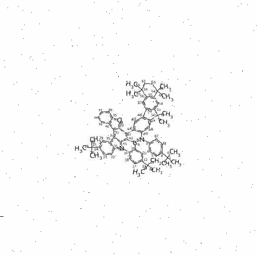 CC(C)(C)c1ccc(N2B3c4cc(C(C)(C)C)ccc4-n4c5ccc(C(C)(C)C)cc5c5c6c(oc7ccccc76)c(c3c54)-c3cc4c(cc32)C(C)(C)c2cc3c(cc2-4)C(C)(C)CCC3(C)C)cc1